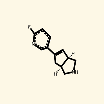 Fc1ccc(C2=C[C@H]3CNC[C@H]3C2)cn1